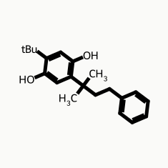 CC(C)(C)c1cc(O)c(C(C)(C)CCc2ccccc2)cc1O